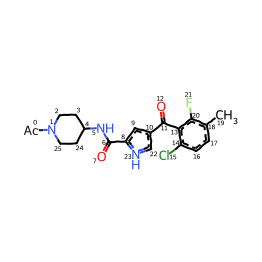 CC(=O)N1CCC(NC(=O)c2cc(C(=O)c3c(Cl)ccc(C)c3F)c[nH]2)CC1